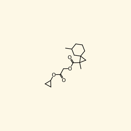 CC1CCCC2(C1)CC2(C)C(=O)OCC(=O)OC1CC1